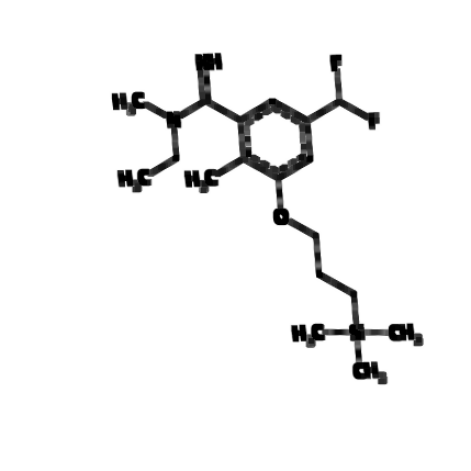 CCN(C)C(=N)c1cc(C(F)F)cc(OCCC[Si](C)(C)C)c1C